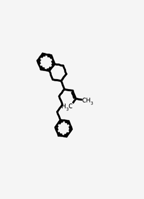 CC(C)=CC(CCCc1ccccc1)C1CCc2ccccc2C1